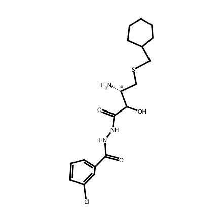 N[C@H](CSCC1CCCCC1)C(O)C(=O)NNC(=O)c1cccc(Cl)c1